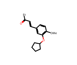 CCC(=O)C=Cc1ccc(OC)c(OC2CCCC2)c1